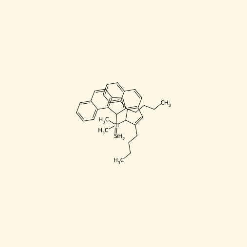 CCCCC1=Cc2ccc3ccccc3c2[CH]1[Ti]([CH3])([CH3])(=[SiH2])[CH]1C(CCCC)=Cc2ccc3ccccc3c21